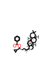 C[C@H](CC[C@@H](OC(=O)c1ccccc1)C1CC1)[C@H]1CC[C@H]2[C@@H]3CC[C@H]4CC(C)(C)CC[C@]4(C)[C@H]3CC[C@]12C